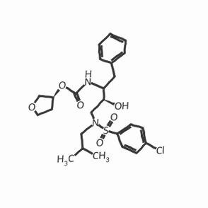 CC(C)CN(C[C@H](O)C(Cc1ccccc1)NC(=O)O[C@H]1CCOC1)S(=O)(=O)c1ccc(Cl)cc1